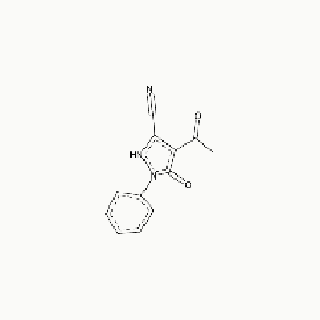 CC(=O)c1c(C#N)[nH]n(-c2ccccc2)c1=O